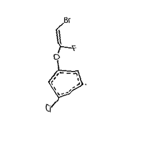 FC(=CBr)Oc1c[c]cc(Cl)c1